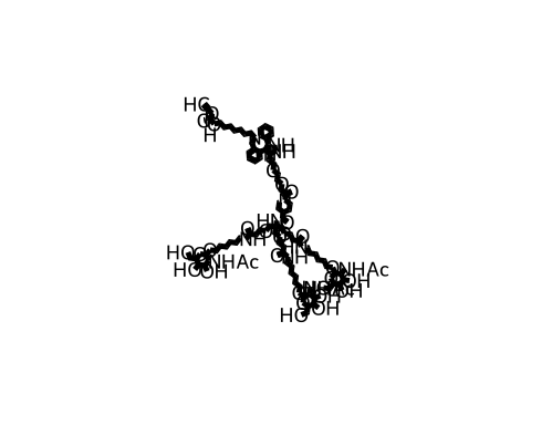 C#CO[PH](=O)OCCCCCCCN1Cc2ccccc2C2=C(NNN2CCOCCOCC(=O)N2CCC(C(=O)NC(COCCC(=O)NCCCCCCOC3OC(CO)C(O)C(O)C3NC(C)=O)(COCCC(=O)NCCCCCCOC3OC(CO)C(O)C(O)C3NC(C)=O)COCCC(=O)NCCCCCCOC3OC(CO)C(O)C(O)C3NC(C)=O)CC2)c2ccccc21